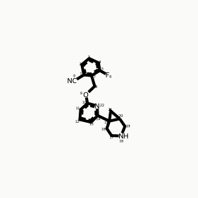 N#Cc1cccc(F)c1COc1cccc(C23CCNCC2C3)n1